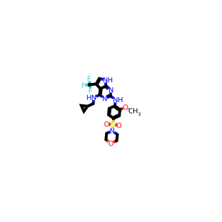 COc1cc(S(=O)(=O)N2CCOCC2)ccc1Nc1nc(NCC2CC2)c2c(C(F)(F)F)c[nH]c2n1